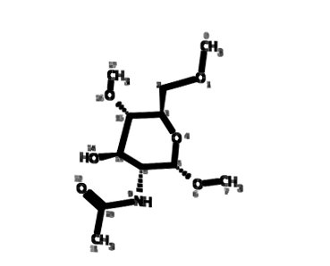 COC[C@H]1O[C@H](OC)[C@H](NC(C)=O)[C@@H](O)[C@@H]1OC